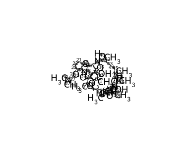 CO[C@H]1/C=C/O[C@@]2(C)Oc3c(C)c(O)c4c(=O)c(c5oc6cccc(OCCN(C)C)c6nc-5c4c3C2=O)NC(=O)/C(C)=C\C=C\[C@H](C)[C@@H]2O[C@H]([C@H](O)[C@@H]2C)[C@H](OC(C)=O)[C@@H]1C